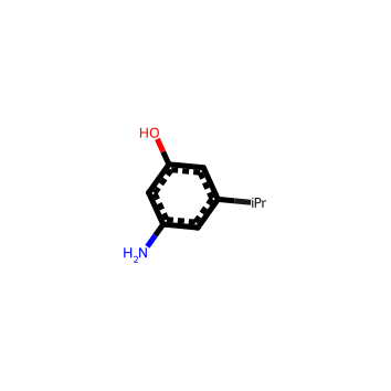 CC(C)c1cc(N)cc(O)c1